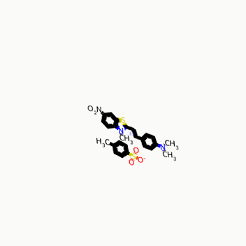 CN(C)c1ccc(/C=C/c2sc3cc([N+](=O)[O-])ccc3[n+]2C)cc1.Cc1ccc(S(=O)(=O)[O-])cc1